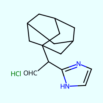 Cl.O=CC(c1ncc[nH]1)C12CC3CC(CC(C3)C1)C2